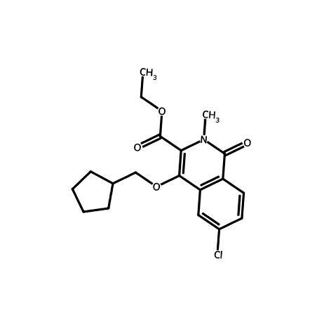 CCOC(=O)c1c(OCC2CCCC2)c2cc(Cl)ccc2c(=O)n1C